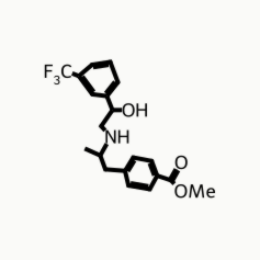 COC(=O)c1ccc(CC(C)NCC(O)c2cccc(C(F)(F)F)c2)cc1